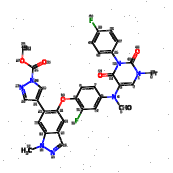 CC(C)n1cc(N(C=O)c2ccc(Oc3cc4cnn(C)c4cc3-c3cnn(C(=O)OC(C)(C)C)c3)c(F)c2)c(=O)n(-c2ccc(F)cc2)c1=O